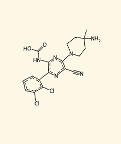 CC1(N)CCN(c2nc(NC(=O)O)c(-c3cccc(Cl)c3Cl)nc2C#N)CC1